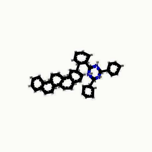 c1ccc(-c2nc(-c3ccccc3)nc(-c3ccccc3-c3ccc4ccc5c(ccc6c7ccccc7ccc65)c4c3)n2)cc1